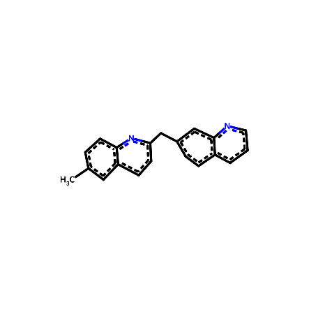 Cc1ccc2nc(Cc3ccc4cccnc4c3)ccc2c1